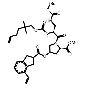 C=CCCC(C)(C)COC(=O)N[C@@H](CNC(=O)OC(C)(C)C)C(=O)N1C[C@H](OC(=O)C2Cc3cccc(C=C)c3C2)C[C@H]1C(=O)OC